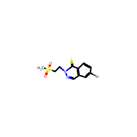 CS(=O)(=O)CCn1ncc2cc(Br)ccc2c1=S